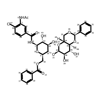 CC(=O)Nc1cc(C(=O)N[C@@H]2O[C@H](COC(=O)c3ccccc3)[C@@H](O[C@H]3O[C@@H]4CO[C@@H](c5ccccc5)O[C@H]4[C@H](O)[C@H]3O)[C@H](O)[C@H]2O)ccc1Cl